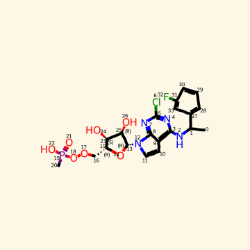 CC(Nc1nc(Cl)nc2c1ccn2[C@@H]1O[C@H](COOP(C)(=O)O)[C@@H](O)[C@H]1O)c1cccc(F)c1